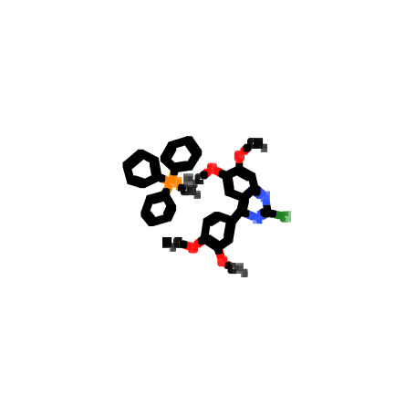 COc1ccc(-c2nc(Cl)nc3cc(OC)c(OC)cc23)cc1OC.C[PH](c1ccccc1)(c1ccccc1)c1ccccc1